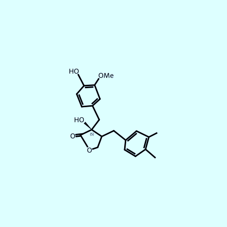 COc1cc(C[C@@]2(O)C(=O)OCC2Cc2ccc(C)c(C)c2)ccc1O